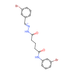 O=C(CCCC(=O)Nc1cccc(Br)c1)N/N=C/c1cccc(Br)c1